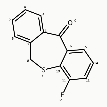 O=C1c2ccccc2CSc2c(F)cccc21